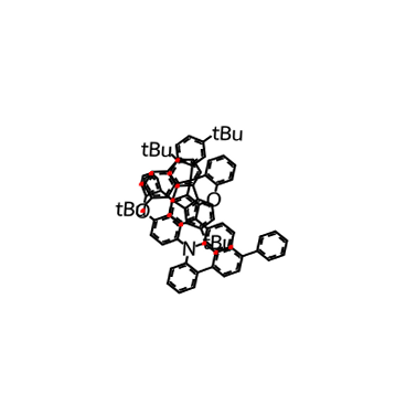 CC(C)(C)c1ccc2c(c1)C1(c3ccccc3Oc3ccc(N(c4ccccc4-c4ccc(-c5ccccc5)cc4)c4ccccc4-c4cccc5c4Oc4ccccc4C54c5cc(C(C)(C)C)ccc5-c5ccc(C(C)(C)C)cc54)cc31)c1cc(C(C)(C)C)ccc1-2